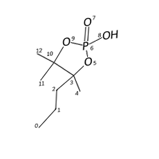 CCCC1(C)OP(=O)(O)OC1(C)C